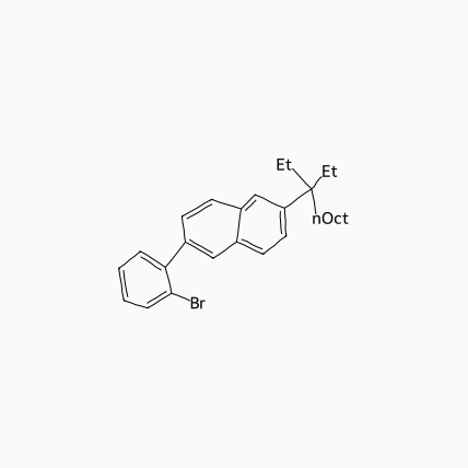 CCCCCCCCC(CC)(CC)c1ccc2cc(-c3ccccc3Br)ccc2c1